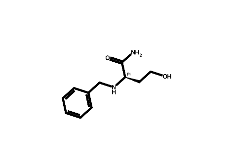 NC(=O)[C@@H](CCO)NCc1ccccc1